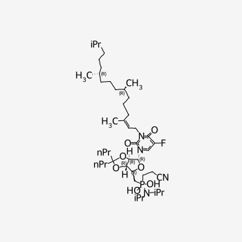 CCCC1(CCC)O[C@@H]2[C@@H](O1)[C@H](n1cc(F)c(=O)n(CC=C(C)CCC[C@H](C)CCC[C@H](C)CCCC(C)C)c1=O)O[C@H]2CP(O)(O)(CCC#N)N(C(C)C)C(C)C